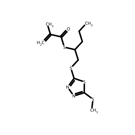 C=C(C)C(=O)SC(CCC)CSc1nnc(SC)s1